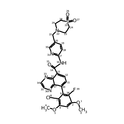 COc1cc(OC)c(Cl)c(-c2ccc(C(=O)Nc3ccc(CN4CCS(=O)(=O)CC4)cn3)c3nccnc23)c1F